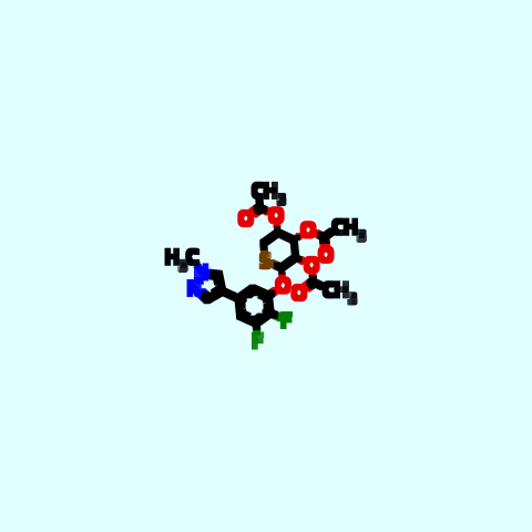 CC(=O)O[C@@H]1[C@@H](OC(C)=O)[C@@H](Oc2cc(-c3cnn(C)c3)cc(F)c2F)SC[C@H]1OC(C)=O